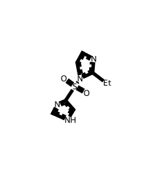 CCc1nccn1S(=O)(=O)c1c[nH]cn1